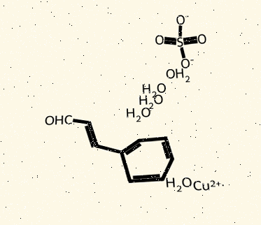 O.O.O.O.O.O=CC=Cc1ccccc1.O=S(=O)([O-])[O-].[Cu+2]